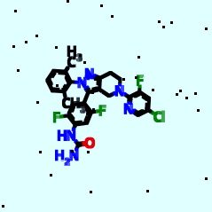 Cc1cccc(C)c1-n1nc2c(c1-c1cc(F)c(NC(N)=O)cc1F)CN(c1ncc(Cl)cc1F)CC2